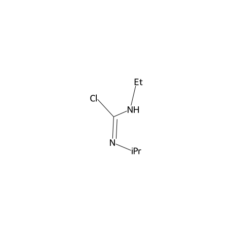 CCN/C(Cl)=N\C(C)C